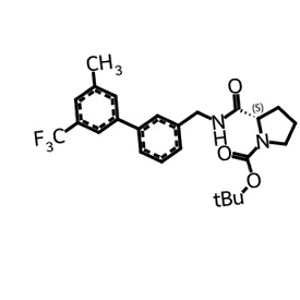 Cc1cc(-c2cccc(CNC(=O)[C@@H]3CCCN3C(=O)OC(C)(C)C)c2)cc(C(F)(F)F)c1